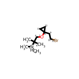 C[SiH](C)C(C)(C)COC1(CCBr)CC1